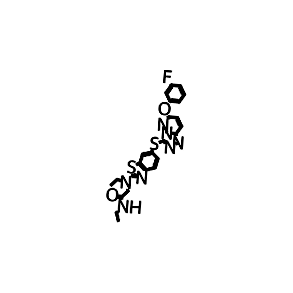 CCNC(=O)CN(CC)c1nc2ccc(Sc3nnc4ccc(Oc5cccc(F)c5)nn34)cc2s1